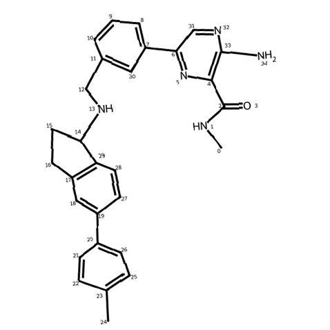 CNC(=O)c1nc(-c2cccc(CNC3CCc4cc(-c5ccc(C)cc5)ccc43)c2)cnc1N